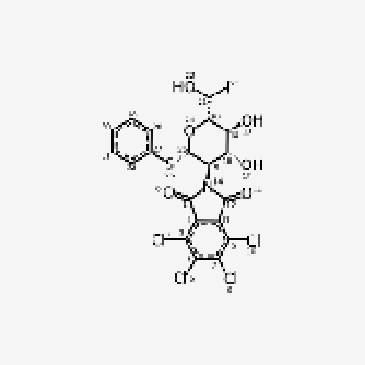 O=C1c2c(Cl)c(Cl)c(Cl)c(Cl)c2C(=O)N1[C@@H]1[C@@H](O)[C@H](O)[C@@H](C(O)I)O[C@H]1Sc1ccccc1